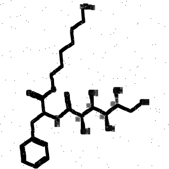 CCCCCCCCCCCCCCCCOC(=O)C(Cc1ccccc1)NC(=O)[C@H](O)[C@@H](O)[C@H](O)[C@H](O)CO